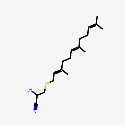 CC(C)=CCC/C(C)=C/CC/C(C)=C/CSCC(N)C#N